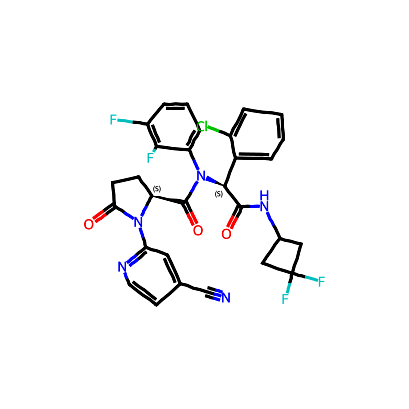 N#Cc1ccnc(N2C(=O)CC[C@H]2C(=O)N(c2cccc(F)c2F)[C@H](C(=O)NC2CC(F)(F)C2)c2ccccc2Cl)c1